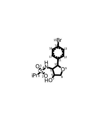 CC(C)S(=O)(=O)NC1C(O)COC1c1ccc(Br)cc1